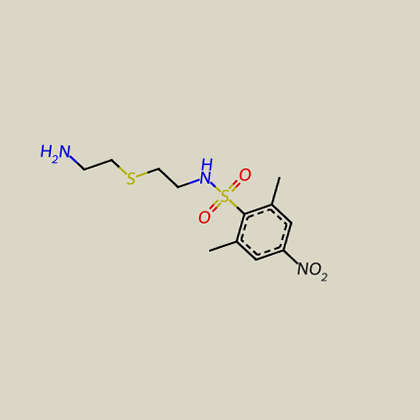 Cc1cc([N+](=O)[O-])cc(C)c1S(=O)(=O)NCCSCCN